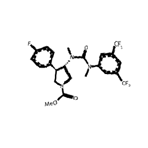 COC(=O)N1C[C@@H](N(C)C(=O)N(C)c2cc(C(F)(F)F)cc(C(F)(F)F)c2)[C@H](c2ccc(F)cc2)C1